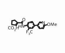 COc1ccc(-c2ccc(NC(=O)C3=C(C(=O)O)CCC3)c(C(F)(F)F)c2)cn1